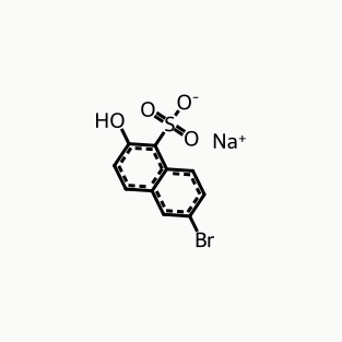 O=S(=O)([O-])c1c(O)ccc2cc(Br)ccc12.[Na+]